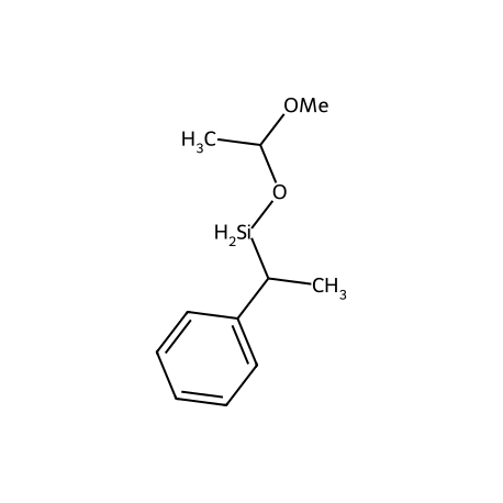 COC(C)O[SiH2]C(C)c1ccccc1